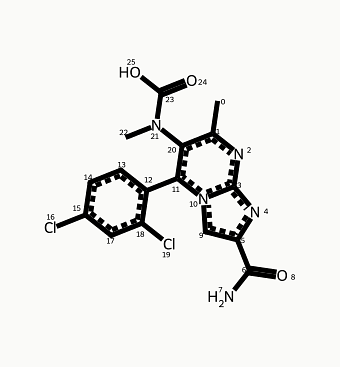 Cc1nc2nc(C(N)=O)cn2c(-c2ccc(Cl)cc2Cl)c1N(C)C(=O)O